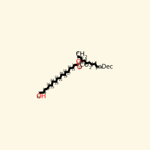 C=CCC(CCCCCCCCCCCCCCCC)(OC(=O)CCCCCCCCCCCCCCCCCO)C(=O)O